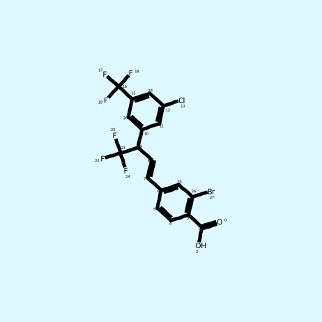 O=C(O)c1ccc(C=CC(c2cc(Cl)cc(C(F)(F)F)c2)C(F)(F)F)cc1Br